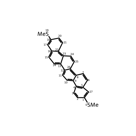 CSc1ccc2c(ccc3c2ccc2c4ccc5cc(SC)ccc5c4ccc32)c1